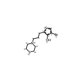 Oc1c(Br)csc1CCCN1CCSCC1